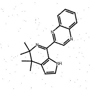 CC1(C)N=C(c2cnc3ccccc3n2)c2[nH]ccc2C1(C)C